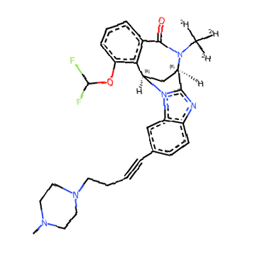 [2H]C([2H])([2H])N1C(=O)c2cccc(OC(F)F)c2[C@H]2C[C@@H]1c1nc3ccc(C#CCCN4CCN(C)CC4)cc3n12